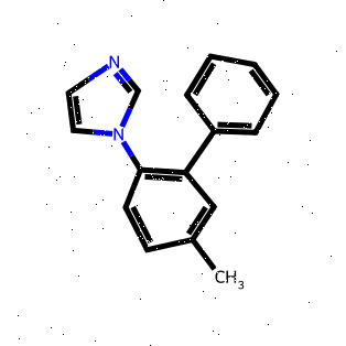 Cc1ccc(-n2ccnc2)c(-c2ccccc2)c1